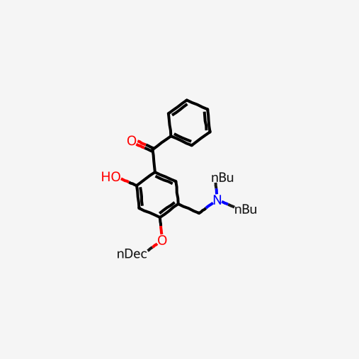 CCCCCCCCCCOc1cc(O)c(C(=O)c2ccccc2)cc1CN(CCCC)CCCC